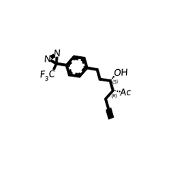 C#CC[C@@H](C(C)=O)[C@@H](O)CCc1ccc(C2(C(F)(F)F)N=N2)cc1